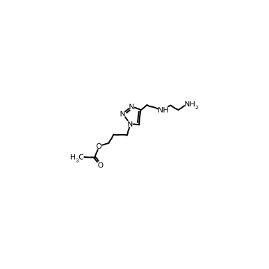 CC(=O)OCCCn1cc(CNCCN)nn1